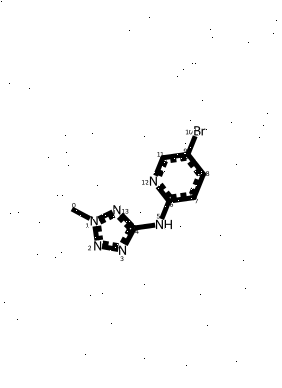 Cn1nnc(Nc2ccc(Br)cn2)n1